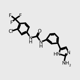 Nc1ncc(-c2cccc(NC(=O)Nc3ccc(C(F)(F)F)c(Cl)c3)c2)[nH]1